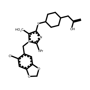 C=C(O)CC1CCC(Sc2nc(CCC)n(Cc3cc4c(cc3Cl)OCO4)c2C(=O)O)CC1